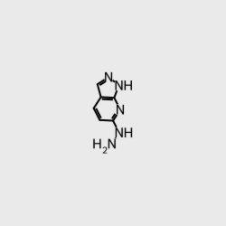 NNc1ccc2cn[nH]c2n1